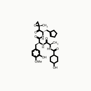 COc1ccc(C[C@H](NC(=O)[C@@H](C)NC(=O)C2CCC(O)CC2)C(=O)N[C@@H](CC2=CCCC2)C(=O)[C@@]2(C)CO2)cc1O